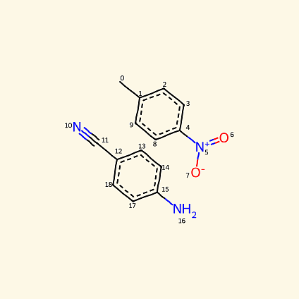 Cc1ccc([N+](=O)[O-])cc1.N#Cc1ccc(N)cc1